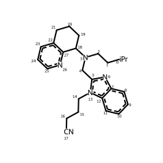 CC(C)CCN(Cc1nc2ccccc2n1CCCC#N)C1CCCc2cccnc21